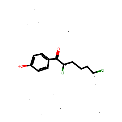 O=C(c1ccc(O)cc1)C(Cl)CCCCCl